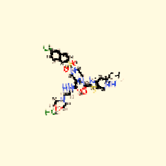 CC1Cc2nc(C(=O)N3CCN(S(=O)(=O)c4ccc5cc(Cl)ccc5c4)CC3C(=O)NCCN3CCOCC3)sc2CN1.Cl